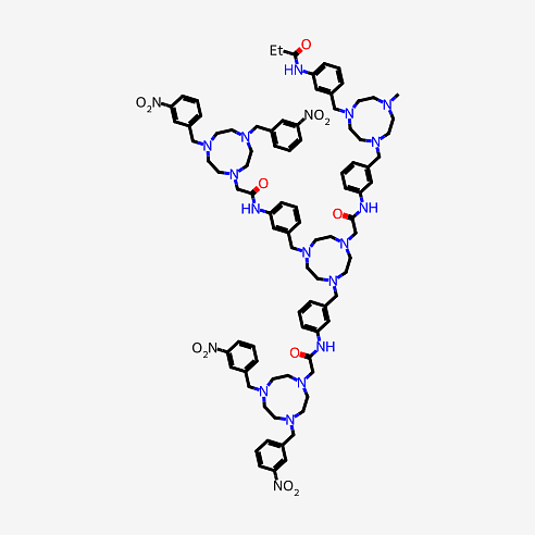 CCC(=O)Nc1cccc(CN2CCN(C)CCN(Cc3cccc(NC(=O)CN4CCN(Cc5cccc(NC(=O)CN6CCN(Cc7cccc([N+](=O)[O-])c7)CCN(Cc7cccc([N+](=O)[O-])c7)CC6)c5)CCN(Cc5cccc(NC(=O)CN6CCN(Cc7cccc([N+](=O)[O-])c7)CCN(Cc7cccc([N+](=O)[O-])c7)CC6)c5)CC4)c3)CC2)c1